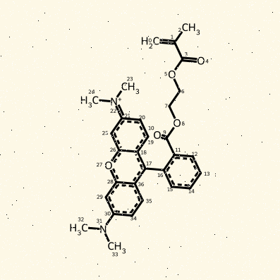 C=C(C)C(=O)OCCOC(=O)c1ccccc1-c1c2ccc(=[N+](C)C)cc-2oc2cc(N(C)C)ccc12